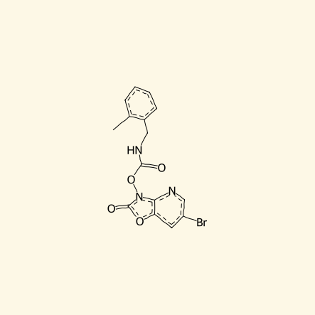 Cc1ccccc1CNC(=O)On1c(=O)oc2cc(Br)cnc21